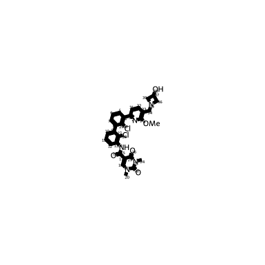 COc1nc(-c2cccc(-c3cccc(NC(=O)c4cn(C)c(=O)n(C)c4=O)c3Cl)c2Cl)ccc1CN1CC(O)C1